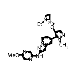 CCN1CC[C@@H]1COc1cnn(C)c1-c1ccn2nc(Nc3cnc(OC)cn3)cc2c1